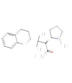 CN1CCC[C@@H]1C(C(N)=O)C(C)(C)[C@H]1CCc2ccccc2O1